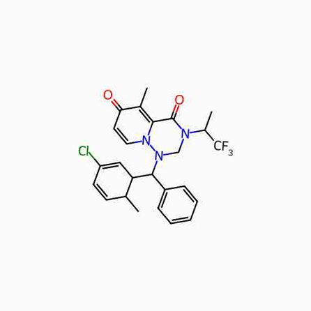 Cc1c2n(ccc1=O)N(C(c1ccccc1)C1C=C(Cl)C=CC1C)CN(C(C)C(F)(F)F)C2=O